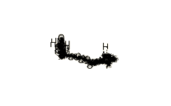 O=C1CCC(N2C(=O)c3cccc(NCCOCCOCCOCCOCCC(=O)N4CCN(c5cccc(C6=CNC7C=CC(N8CCC[C@@H]8c8cccc(F)c8)=NN67)n5)CC4)c3C2=O)C(=O)N1